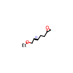 CCOC/C=C/CCC1CO1